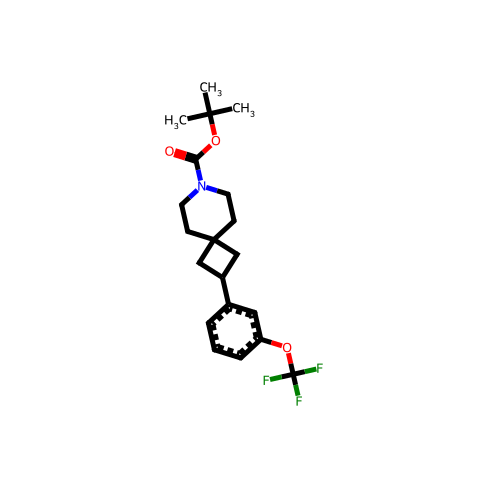 CC(C)(C)OC(=O)N1CCC2(CC1)CC(c1cccc(OC(F)(F)F)c1)C2